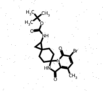 Cc1cc(Br)c(=O)n2c1C(=O)NC21CCC2(CC1)CC2NC(=O)OC(C)(C)C